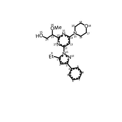 CCc1cc(-c2ccccc2)nn1-c1cc(N2CCOCC2)nc(C(CO)OC)n1